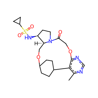 Cc1ncnc2c1C1CCC(CC1)OC[C@H]1[C@@H](NS(=O)(=O)C3CC3)CCN1C(=O)CO2